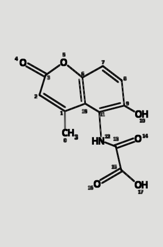 Cc1cc(=O)oc2ccc(O)c(NC(=O)C(=O)O)c12